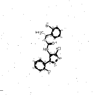 C[C@@H](OC(=O)Nc1c(Cl)nsc1-c1ccccc1Cl)c1ccccc1Br